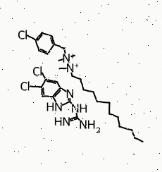 CCCCCCCCCCCC[N+](C)(C)[N+](C)(C)Cc1ccc(Cl)cc1.N=C(N)Nc1nc2cc(Cl)c(Cl)cc2[nH]1